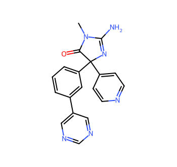 CN1C(=O)C(c2ccncc2)(c2cccc(-c3cncnc3)c2)N=C1N